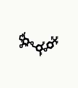 CN1CCn2c1cc(OCc1cc(F)c(Oc3ccc(C(F)(F)F)cc3)c(F)c1)nc2=O